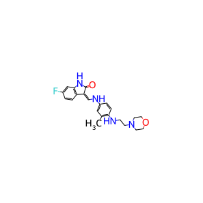 Cc1cc(NC=C2C(=O)Nc3cc(F)ccc32)ccc1NCCN1CCOCC1